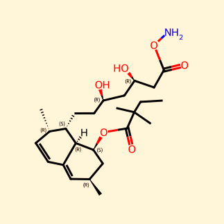 CCC(C)(C)C(=O)O[C@H]1C[C@@H](C)C=C2C=C[C@H](C)[C@H](CC[C@@H](O)C[C@@H](O)CC(=O)ON)[C@H]21